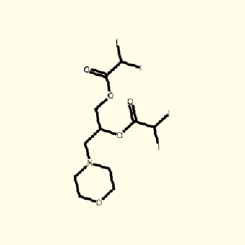 O=C(OCC(CN1CCOCC1)OC(=O)C(I)I)C(I)I